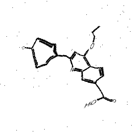 CCOc1cc(-c2ccc(Cl)cc2)nc2cc(C(=O)O)ccc12